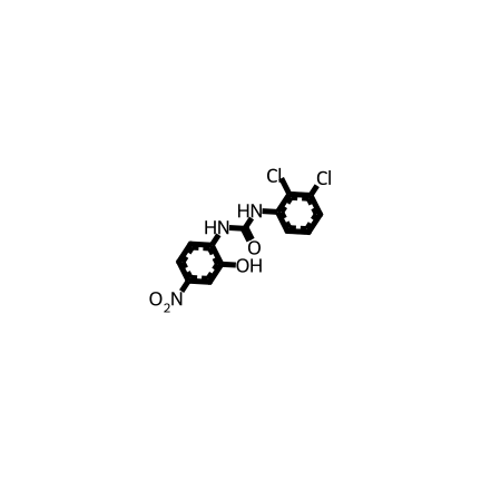 O=C(Nc1ccc([N+](=O)[O-])cc1O)Nc1cccc(Cl)c1Cl